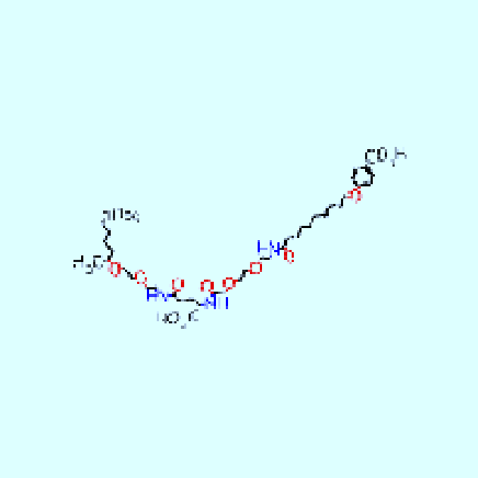 CCCCCCCCCCCCCC[C](C)OCCOCCNC(=O)CC[C@H](NC(=O)COCCOCCNC(=O)CCCCCCCCCOc1ccc(C(=O)O)cc1)C(=O)O